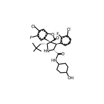 CC(C)(C)C[C@H]1N[C@@H](C(=O)NC2CCC(O)CC2)[C@H](c2cccc(Cl)c2F)[C@@]12C(=O)Oc1cc(Cl)c(F)cc12